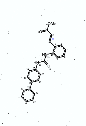 COC(=O)/C=C/c1ccccc1NC(=O)Nc1ccc(-c2ccccc2)cc1